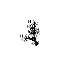 CSc1nc(NC(CCC(N)=O)C(=O)O)c([N+](=O)[O-])c(Oc2cc(CC(=O)N(C)C)cc(-c3ncc[nH]3)c2)n1